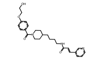 O=C(/C=C/c1cccnc1)NCCCCC1CCN(C(=O)c2ccc(OCCO)cc2)CC1